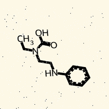 CCN(CCNc1ccccc1)C(=O)O